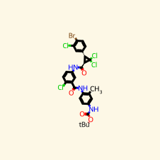 Cc1cc(NC(=O)OC(C)(C)C)ccc1NC(=O)c1cc(NC(=O)[C@H]2[C@H](c3ccc(Br)c(Cl)c3)C2(Cl)Cl)ccc1Cl